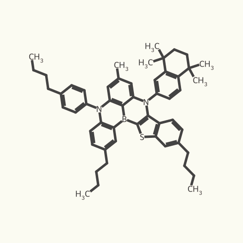 CCCCc1ccc(N2c3ccc(CCCC)cc3B3c4sc5cc(CCCC)ccc5c4N(c4ccc5c(c4)C(C)(C)CCC5(C)C)c4cc(C)cc2c43)cc1